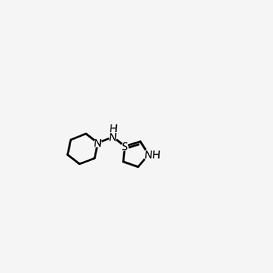 C1=S(NN2CCCCC2)CCN1